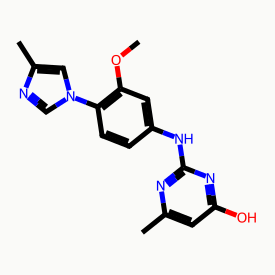 COc1cc(Nc2nc(C)cc(O)n2)ccc1-n1cnc(C)c1